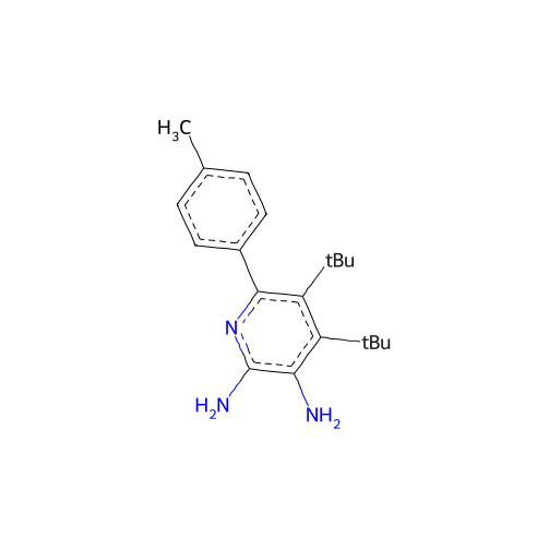 Cc1ccc(-c2nc(N)c(N)c(C(C)(C)C)c2C(C)(C)C)cc1